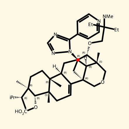 CCC(CC)(CO[C@H]1[C@H](n2ncnc2-c2ccncc2)C[C@@]23COC[C@]1(C)[C@@H]2CC[C@H]1C3=CC[C@]2(C)[C@H](OC(=O)O)[C@@](C)([C@H](C)C(C)C)CC[C@]12C)NC